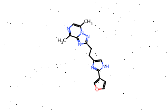 Cc1ncc(C)n2nc(CCc3c[nH]c(-c4ccoc4)n3)nc12